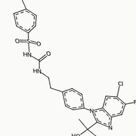 Cc1ccc(S(=O)(=O)NC(=O)NCCc2ccc(-n3c(C(C)(C)O)nc4cc(F)c(Cl)cc43)cc2)cc1